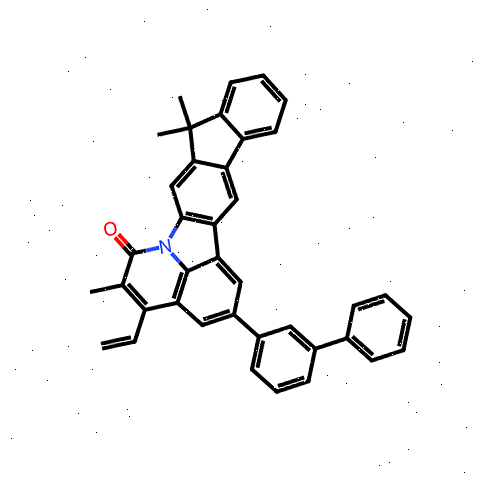 C=Cc1c(C)c(=O)n2c3cc4c(cc3c3cc(-c5cccc(-c6ccccc6)c5)cc1c32)-c1ccccc1C4(C)C